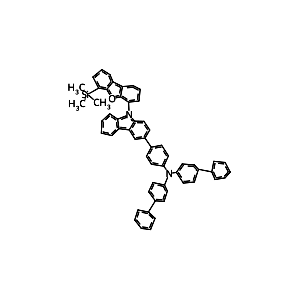 C[Si](C)(C)c1cccc2c1oc1c(-n3c4ccccc4c4cc(-c5ccc(N(c6ccc(-c7ccccc7)cc6)c6ccc(-c7ccccc7)cc6)cc5)ccc43)cccc12